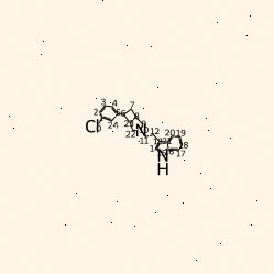 Clc1cccc(C2CC3CN(CCc4c[nH]c5ccccc45)CC32)c1